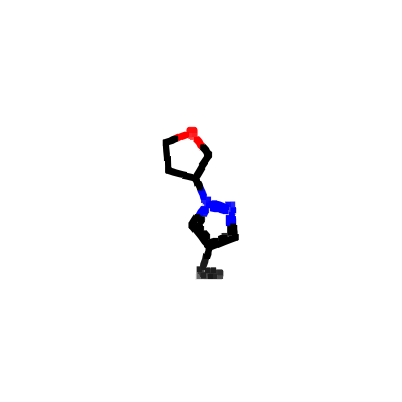 CNc1cnn(C2CCOC2)c1